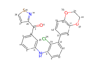 O=C(c1cccc(Nc2cccc(-c3ccc4c(c3)OCCO4)c2Cl)c1)c1ccsn1